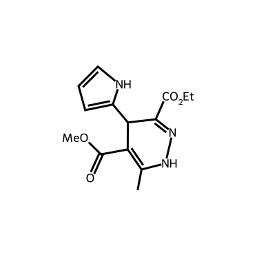 CCOC(=O)C1=NNC(C)=C(C(=O)OC)C1c1ccc[nH]1